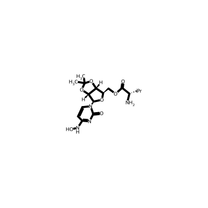 CC(C)[C@H](N)C(=O)OC[C@H]1O[C@@H](n2ccc(NO)nc2=O)[C@@H]2OC(C)(C)O[C@@H]21